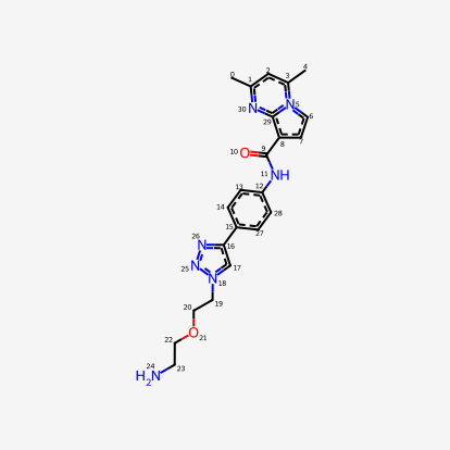 Cc1cc(C)n2ccc(C(=O)Nc3ccc(-c4cn(CCOCCN)nn4)cc3)c2n1